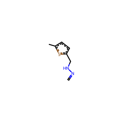 C=NNCc1ccc(C)s1